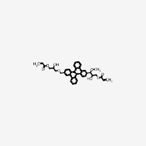 C=CC(=O)OCC(O)COCc1ccc2c(c1)c1ccccc1c1c3ccc(C(OC)C(O)COC(=O)C=C)cc3c3ccccc3c21